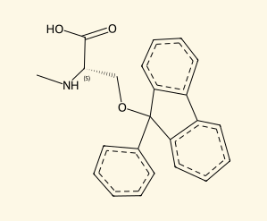 CN[C@@H](COC1(c2ccccc2)c2ccccc2-c2ccccc21)C(=O)O